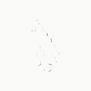 CC(/C=C/C1CC2(CO2)CC(C)(C)O1)=C\CC1OCC(NC(=O)/C=C\C(C)OC(=O)N2CCN(C)CC2)CO1